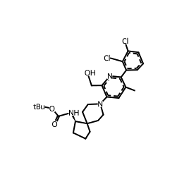 Cc1cc(N2CCC3(CCC[C@H]3NC(=O)OC(C)(C)C)CC2)c(CO)nc1-c1cccc(Cl)c1Cl